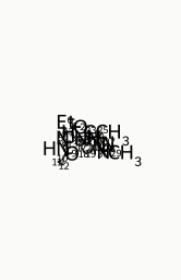 CCC(=O)c1cnc(NC(=O)C2CC2)cc1Nc1cccc2c1N(C)C(C)c1nc(C)nn1-2